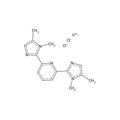 Cc1cnc(-c2cccc(-c3ncc(C)n3C)n2)n1C.[Cl-].[Cl-].[V+2]